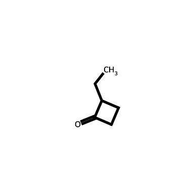 CCC1CCC1=O